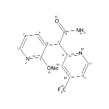 COc1ncccc1C(C(N)=O)c1cc(C(F)(F)F)ccn1